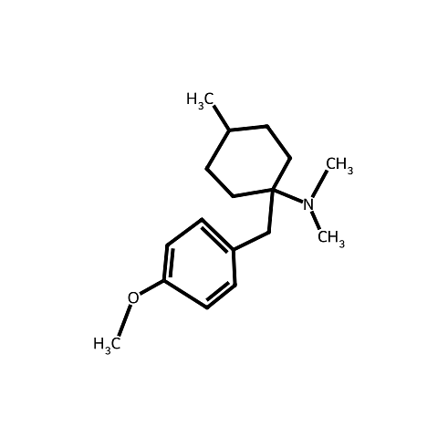 COc1ccc(CC2(N(C)C)CCC(C)CC2)cc1